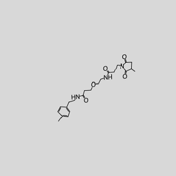 Cc1ccc(CCNC(=O)CCOCCNC(=O)CCN2C(=O)CC(C)C2=O)cc1